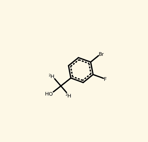 [2H]C([2H])(O)c1ccc(Br)c(F)c1